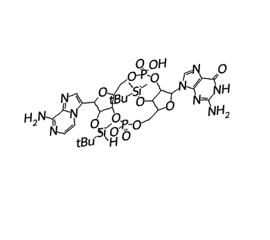 CC(C)(C)[Si](C)(C)OC1C2COP(=O)(O)OC3C(COP(=O)(O)OC1C(n1cnc4c(=O)[nH]c(N)nc41)O2)OC(c1cnc2c(N)nccn12)C3O[Si](C)(C)C(C)(C)C